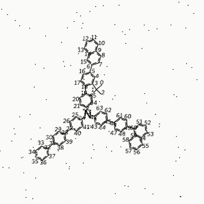 CC1(C)c2cc(-c3ccc4ccccc4c3)ccc2-c2ccc(N(c3ccc(-c4ccc(-c5ccccc5)cc4)cc3)c3ccc(-c4ccc(-c5cccc6ccccc56)cc4)cc3)cc21